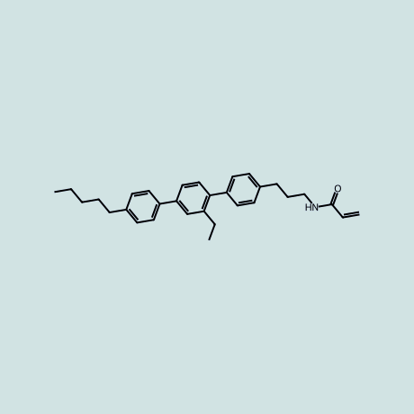 C=CC(=O)NCCCc1ccc(-c2ccc(-c3ccc(CCCCC)cc3)cc2CC)cc1